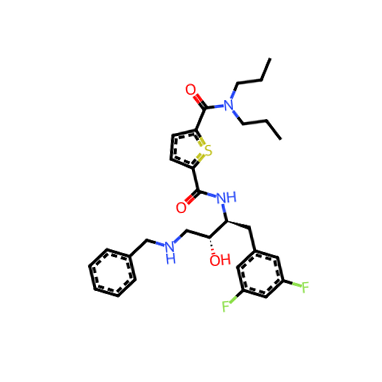 CCCN(CCC)C(=O)c1ccc(C(=O)N[C@@H](Cc2cc(F)cc(F)c2)[C@H](O)CNCc2ccccc2)s1